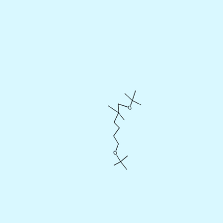 CC(C)(CCCCOC(C)(C)C)COC(C)(C)C